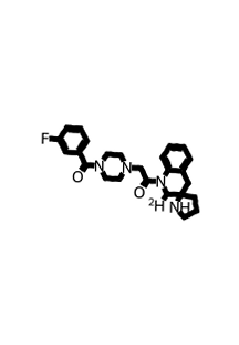 [2H]C1N(C(=O)CN2CCN(C(=O)c3cccc(F)c3)CC2)c2ccccc2CC12CCCN2